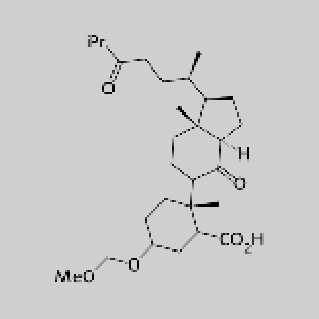 COCOC1CC[C@](C)(C2CC[C@]3(C)[C@@H]([C@H](C)CCC(=O)C(C)C)CC[C@H]3C2=O)C(C(=O)O)C1